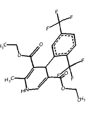 CCOC(=O)C1=CNC(C)=C(C(=O)OCC)C1c1cc(C(F)(F)F)ccc1C(F)(F)F